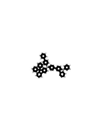 C1=CC2c3cc(-c4ccc(N(c5ccc(-c6ccccc6)cc5)c5ccc6c(c5)C(c5ccccc5)(c5ccccc5)C5C=CC=CC65)cc4)ccc3N(c3ccccc3)C2C=C1